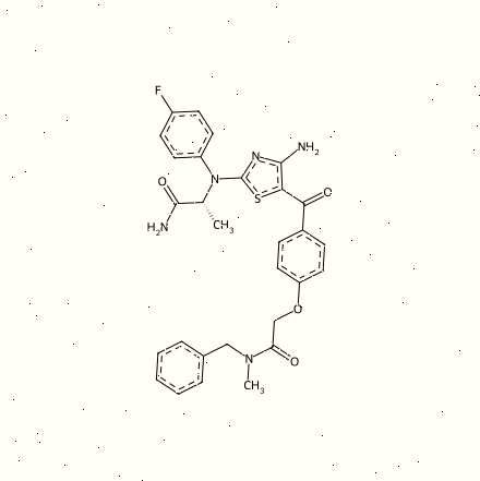 C[C@H](C(N)=O)N(c1ccc(F)cc1)c1nc(N)c(C(=O)c2ccc(OCC(=O)N(C)Cc3ccccc3)cc2)s1